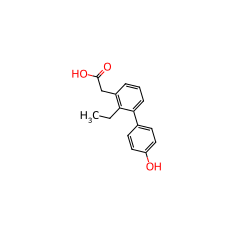 CCc1c(CC(=O)O)cccc1-c1ccc(O)cc1